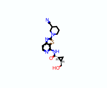 N#CC1CCCN(c2nc3ccnc(NC(=O)[C@@H]4C[C@H]4CO)c3s2)C1